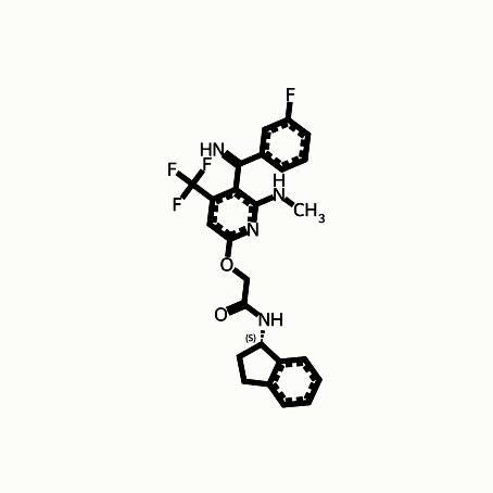 CNc1nc(OCC(=O)N[C@H]2CCc3ccccc32)cc(C(F)(F)F)c1C(=N)c1cccc(F)c1